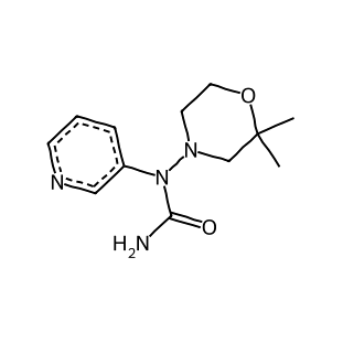 CC1(C)CN(N(C(N)=O)c2cccnc2)CCO1